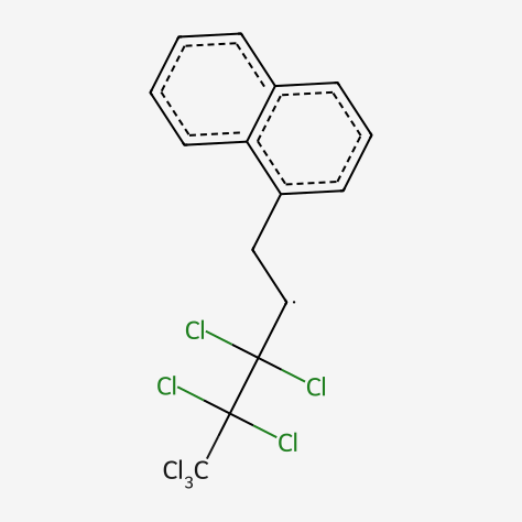 ClC(Cl)(Cl)C(Cl)(Cl)C(Cl)(Cl)[CH]Cc1cccc2ccccc12